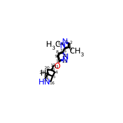 Cc1cnn(C)c1-c1ccc(OCC2CC3CNC[C@H]3C2)nn1